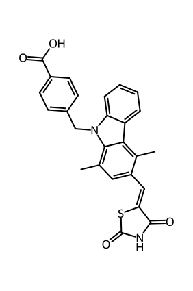 Cc1c(/C=C2\SC(=O)NC2=O)cc(C)c2c1c1ccccc1n2Cc1ccc(C(=O)O)cc1